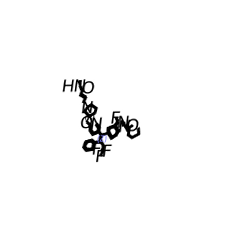 CNC(=O)C=CCN1CCC[C@@H](Oc2ccc(/C(=C(/CC(F)(F)F)c3ccccc3)c3ccc4c(c3)c(F)nn4C3CCCCO3)cn2)C1